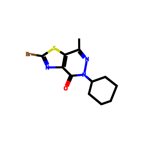 Cc1nn(C2CCCCC2)c(=O)c2nc(Br)sc12